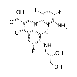 Nc1nc(-n2cc(C(=O)O)c(=O)c3cc(F)c(NCC(O)CO)c(Cl)c32)c(F)cc1F